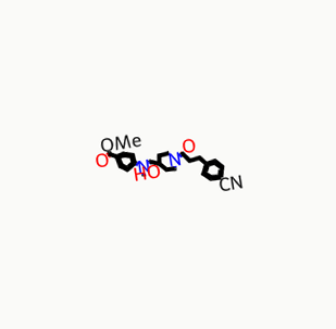 COC(=O)c1ccc(N(C)CC2(O)CCN(C(=O)CCc3ccc(C#N)cc3)CC2)cc1